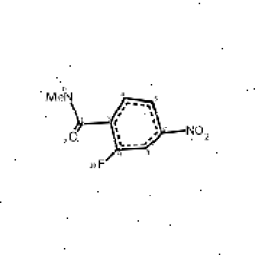 CNC(=O)c1ccc([N+](=O)[O-])cc1F